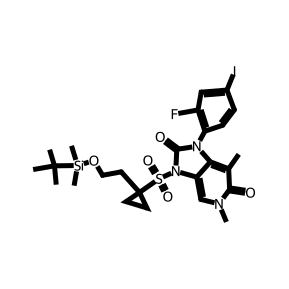 Cc1c(=O)n(C)cc2c1n(-c1ccc(I)cc1F)c(=O)n2S(=O)(=O)C1(CCO[Si](C)(C)C(C)(C)C)CC1